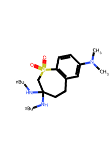 CCCCNC1(NCCCC)CCc2cc(N(C)C)ccc2S(=O)(=O)C1